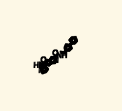 O=C(NCCc1ccc(-c2ccccc2)cc1)c1cc2c(cn1)CC1(C2)C(=O)Nc2ncccc21